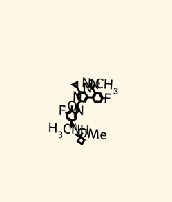 COC1(CN[C@H](C)c2cc(F)c3oc(-c4cc(-c5ccc(F)cc5-c5nncn5C)cc(C5CC5)n4)nc3c2)CCC1